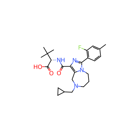 Cc1ccc(-c2nc(C(=O)N[C@H](C(=O)O)C(C)(C)C)c3n2CCCN(CC2CC2)C3)c(F)c1